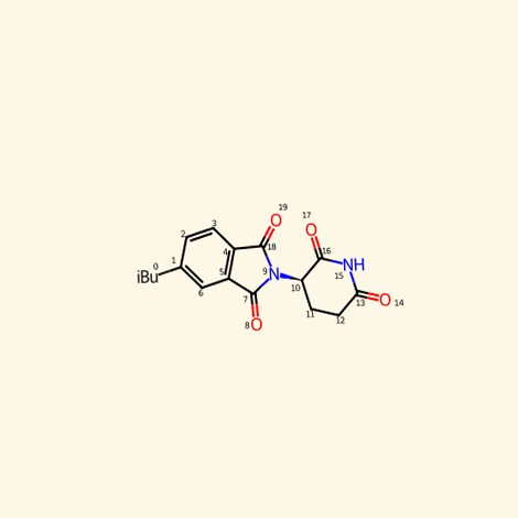 CCC(C)c1ccc2c(c1)C(=O)N([C@@H]1CCC(=O)NC1=O)C2=O